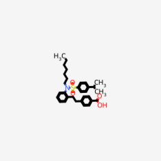 CCCCCCCN(c1ccccc1CCc1ccc(C(=O)O)cc1)S(=O)(=O)c1ccc(C(C)C)cc1